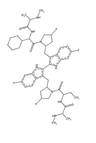 CCC(NC(=O)C(C)NC)C(=O)N1CC(F)CC1Cc1c(-c2[nH]c3cc(F)ccc3c2CC2CC(F)CN2C(=O)C(NC(=O)C(C)NC)C2CCCCC2)[nH]c2cc(F)ccc12